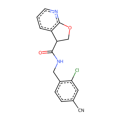 N#Cc1ccc(CNC(=O)C2COc3ncccc32)c(Cl)c1